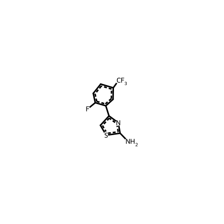 Nc1nc(-c2cc(C(F)(F)F)ccc2F)cs1